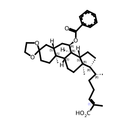 C/C(=C\CC[C@@H](C)[C@H]1CC[C@H]2[C@@H]3[C@H](OC(=O)c4ccccc4)C[C@H]4CC5(CC[C@]4(C)[C@H]3CC[C@]12C)OCCO5)C(=O)O